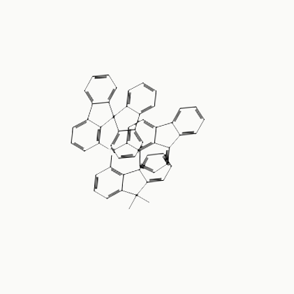 CC1(C)c2ccccc2-c2c(N(c3cccc4c3C3(c5ccccc5-c5ccccc53)c3ccccc3-4)c3ccc4c5c(cccc35)-c3ccccc3-4)cccc21